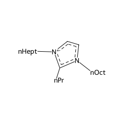 CCCCCCCCn1cc[n+](CCCCCCC)c1CCC